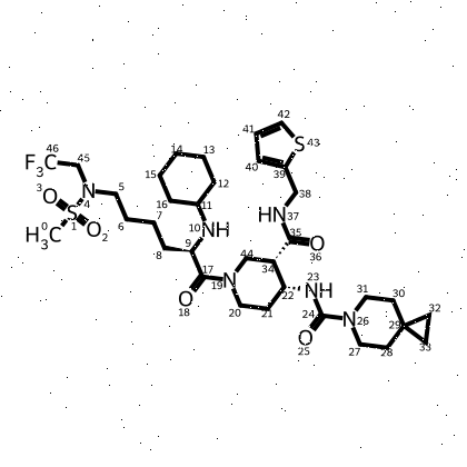 CS(=O)(=O)N(CCCC[C@@H](NC1CCCCC1)C(=O)N1CC[C@@H](NC(=O)N2CCC3(CC2)CC3)[C@@H](C(=O)NCc2cccs2)C1)CC(F)(F)F